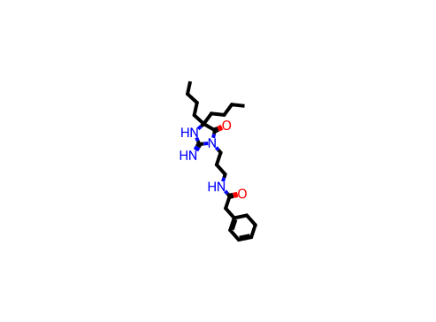 CCCCC1(CCCC)NC(=N)N(CCCNC(=O)CC2=CC=CCC2)C1=O